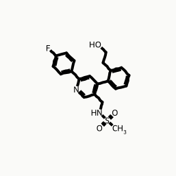 CS(=O)(=O)NCc1cnc(-c2ccc(F)cc2)cc1-c1ccccc1CCO